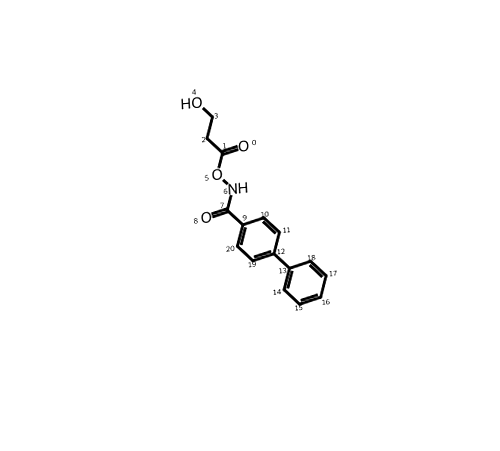 O=C(CCO)ONC(=O)c1ccc(-c2ccccc2)cc1